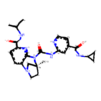 CC(C)NC(=O)c1ccc2c(n1)N(C(=O)Nc1cc(C(=O)NC3CC3)ccn1)[C@H]1CCN2C1